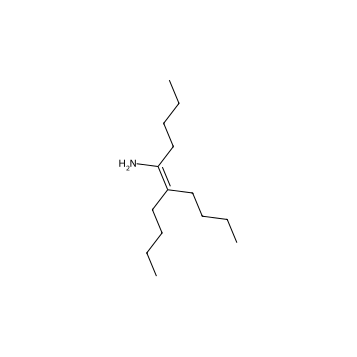 CCCCC(N)=C(CCCC)CCCC